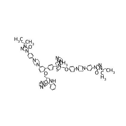 CCC(C)n1ncn(-c2ccc(N3CCN(c4ccc(OC[C@H]5CS[C@](Cn6nccn6)(c6ccc(-c7cc(N8CCN(c9ccc(-n%10cnn(C(C)CC)c%10=O)cc9)CC8)ccc7OC[C@H]7CN[C@](Cn8nccn8)(c8ccccc8)O7)cc6)N5C)cc4)CC3)cc2)c1=O